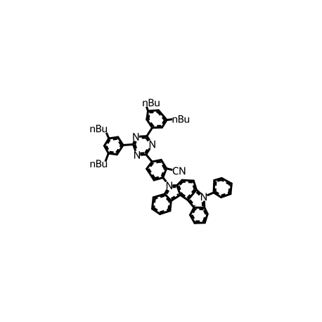 CCCCc1cc(CCCC)cc(-c2nc(-c3cc(CCCC)cc(CCCC)c3)nc(-c3ccc(-n4c5ccccc5c5c6c7ccccc7n(-c7ccccc7)c6ccc54)c(C#N)c3)n2)c1